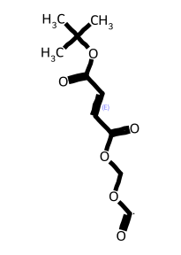 CC(C)(C)OC(=O)/C=C/C(=O)OCO[C]=O